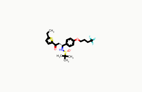 CCc1ccc(C(=O)C[C@@H](N[S@@+]([O-])C(C)(C)C)c2ccc(OCCCC(F)(F)F)cc2)s1